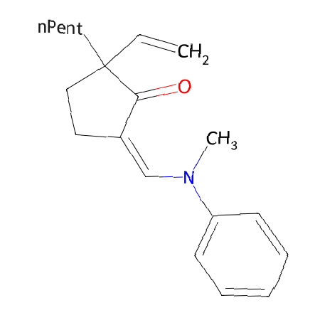 C=CC1(CCCCC)CCC(=CN(C)c2ccccc2)C1=O